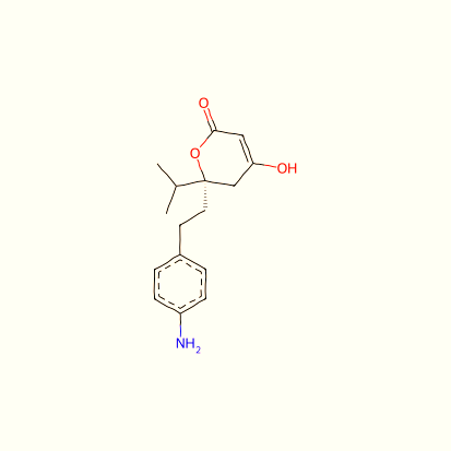 CC(C)[C@]1(CCc2ccc(N)cc2)CC(O)=CC(=O)O1